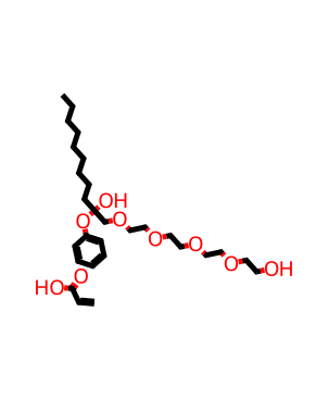 C=CC(=O)O.CCCCCCCCCC(O)(COCCOCCOCCOCCO)Oc1ccccc1